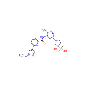 CC(C)(O)C1(O)CCN(c2cnc(C(F)(F)F)c(NC(=O)c3cccc(-c4cnn(CC(F)(F)F)c4)n3)c2)C1